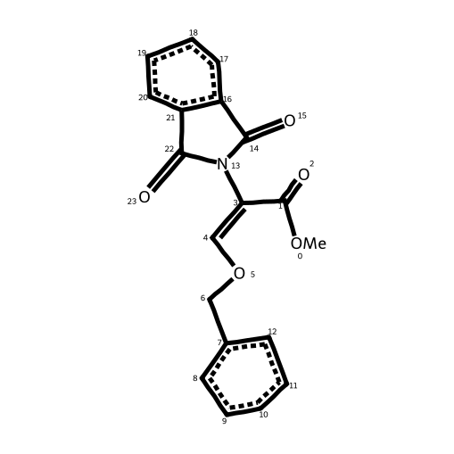 COC(=O)/C(=C\OCc1ccccc1)N1C(=O)c2ccccc2C1=O